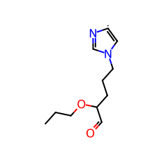 CCCOC(C=O)CCCn1c[c]nc1